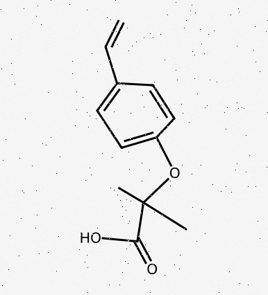 C=Cc1ccc(OC(C)(C)C(=O)O)cc1